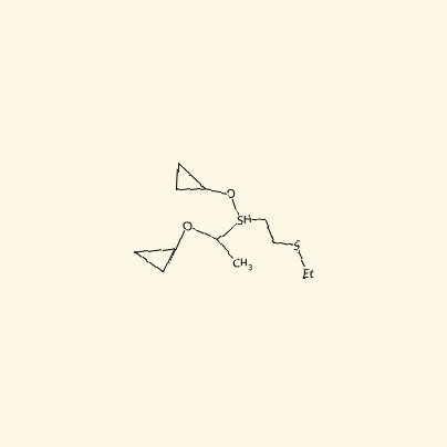 CCSCC[SH](OC1CC1)C(C)OC1CC1